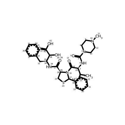 CC(C)[C@H](NC(=O)N1CCN(C)CC1)C(=O)N1C(c2ccccc2)SC[C@H]1C(=O)N[C@@H](Cc1ccccc1)C(O)C(=O)O